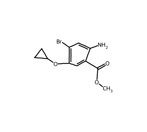 COC(=O)c1cc(OC2CC2)c(Br)cc1N